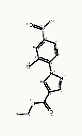 CCOC(=O)c1cnn(-c2ccc([N+](=O)[O-])cc2Cl)c1